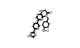 COC1CCC(CN2C(=O)CNc3ncc(-c4ccc(-c5nc[nH]n5)nc4)nc32)CC1